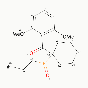 COc1cccc(OC)c1C(=O)C1([P](=O)CCC(C)C)CCCCC1